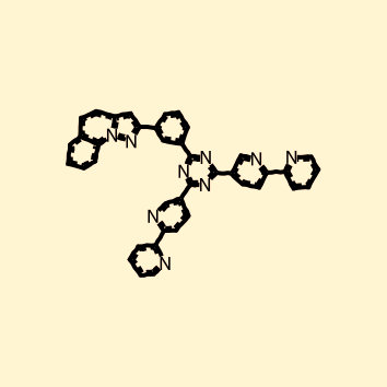 c1ccc(-c2ccc(-c3nc(-c4ccc(-c5ccccn5)nc4)nc(-c4cccc(-c5cc6ccc7ccccc7n6n5)c4)n3)cn2)nc1